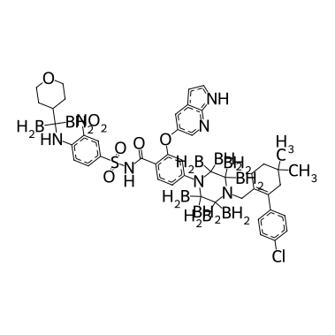 BC(B)(Nc1ccc(S(=O)(=O)NC(=O)c2ccc(N3C(B)(B)C(B)(B)N(CC4=C(c5ccc(Cl)cc5)CC(C)(C)CC4)C(B)(B)C3(B)B)cc2Oc2cnc3[nH]ccc3c2)cc1[N+](=O)[O-])C1CCOCC1